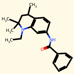 CCN1c2cc(NC(=O)c3ccccc3)ccc2C(C)CC1(C)C